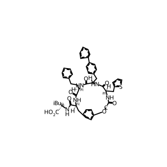 CC[C@H](C)[C@H](NC(=O)[C@@H]1Cc2ccc(cc2)OCC(=O)N[C@H](Cc2cccs2)C(=O)N[C@@H](Cc2ccc(-c3ccccc3)cc2)C(=O)N[C@H](CCc2ccccc2)C(=O)N1)C(=O)O